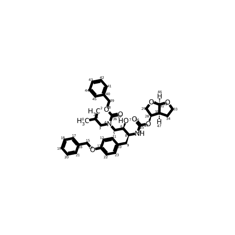 CC(C)CN(C[C@@H](O)[C@H](Cc1ccc(OCc2ccccc2)cc1)NC(=O)O[C@H]1CO[C@H]2OCC[C@H]21)C(=O)OCc1ccccc1